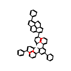 c1ccc(-c2ccc(N(c3ccc(-c4ccc5ccc6c(-c7ccccc7)ccc7ccc4c5c76)cc3)c3c(-c4ccccc4)cc(-c4ccccc4)cc3-c3ccccc3)cc2)cc1